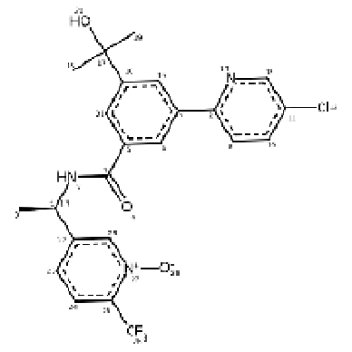 C[C@@H](NC(=O)c1cc(-c2ccc(Cl)cn2)cc(C(C)(C)O)c1)c1ccc(C(F)(F)F)[n+]([O-])c1